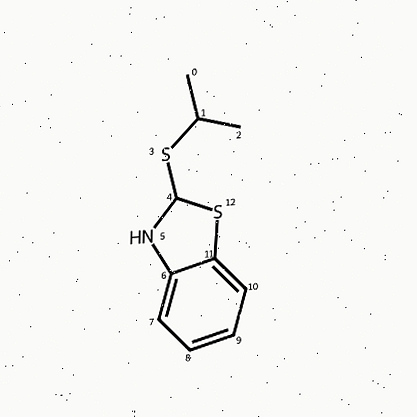 CC(C)SC1Nc2ccccc2S1